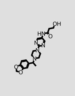 CC(c1ccc2c(c1)OCO2)N1CCN(c2ncc(NC(=O)CCO)cn2)CC1